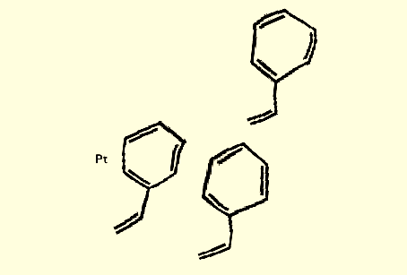 C=Cc1ccccc1.C=Cc1ccccc1.C=Cc1ccccc1.[Pt]